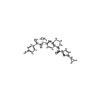 C[C@@H](NC(=O)c1ccc(F)cc1)c1ccc2c(n1)CCCN2C(=O)c1ccn(C2CC2)n1